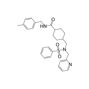 Cc1ccc(CNC(=O)C2CCC(CN(Cc3ccccn3)S(=O)(=O)c3ccccc3)CC2)cc1